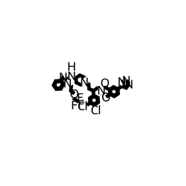 COc1ccc(C2C=NN=N2)cc1C(=O)N(C)CC(CCN1CCC(Nc2nc3ccccc3n2CCOCC(F)(F)F)CC1)c1ccc(Cl)c(Cl)c1